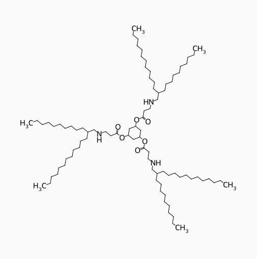 CCCCCCCCCCCCC(CCCCCCCCCC)CNCCC(=O)OC1CC(OC(=O)CCNCC(CCCCCCCCCC)CCCCCCCCCCCC)CC(OC(=O)CCNCC(CCCCCCCCCC)CCCCCCCCCCCC)C1